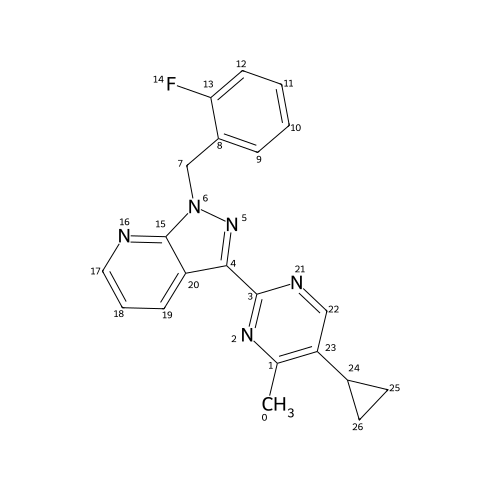 Cc1nc(-c2nn(Cc3ccccc3F)c3ncccc23)ncc1C1CC1